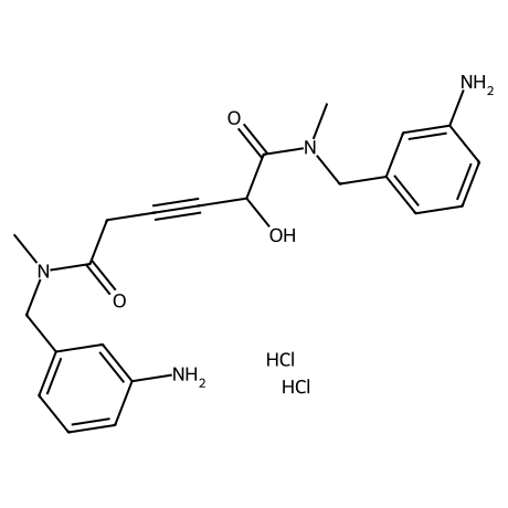 CN(Cc1cccc(N)c1)C(=O)CC#CC(O)C(=O)N(C)Cc1cccc(N)c1.Cl.Cl